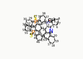 C/C=C\c1c(-c2ccccc2)nc2c(ccc3ccccc32)c1-c1cc(P(=S)(c2ccccc2)c2ccccc2)cc(P(=S)(c2ccccc2)c2ccccc2)c1